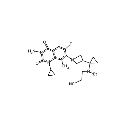 CCN(CCC#N)C1(C2CN(c3c(F)cc4c(=O)n(N)c(=O)n(C5CC5)c4c3C)C2)CC1